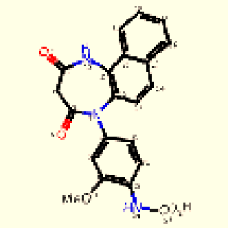 COc1cc(N2C(=O)CC(=O)Nc3c2ccc2ccccc32)ccc1NC(=O)O